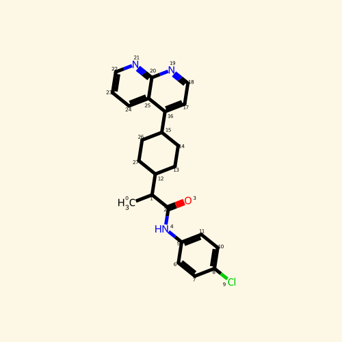 CC(C(=O)Nc1ccc(Cl)cc1)C1CCC(c2ccnc3ncccc23)CC1